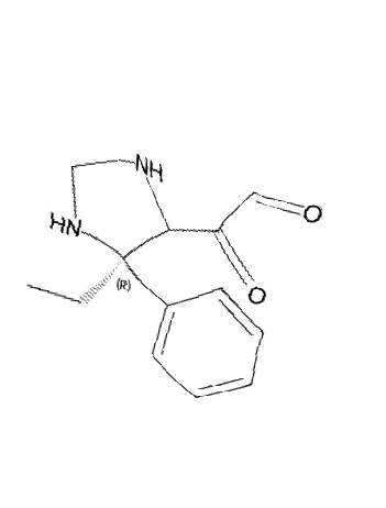 CC[C@]1(c2ccccc2)NCNC1C(=O)C=O